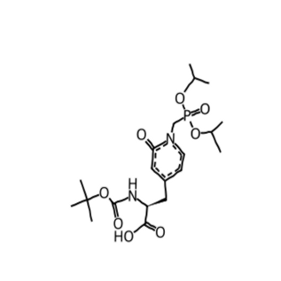 CC(C)OP(=O)(Cn1ccc(C[C@H](NC(=O)OC(C)(C)C)C(=O)O)cc1=O)OC(C)C